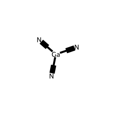 N#[C][Ga]([C]#N)[C]#N